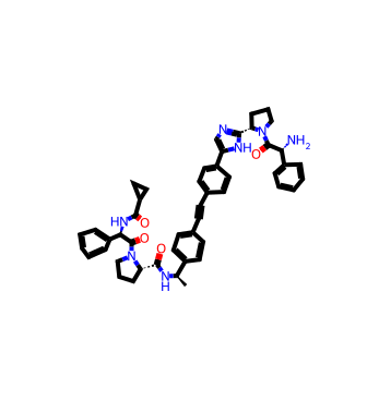 C[C@@H](NC(=O)[C@@H]1CCCN1C(=O)[C@H](NC(=O)C1CC1)c1ccccc1)c1ccc(C#Cc2ccc(-c3cnc([C@@H]4CCCN4C(=O)[C@H](N)c4ccccc4)[nH]3)cc2)cc1